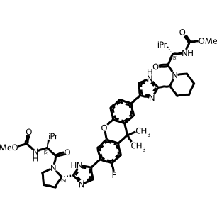 COC(=O)N[C@H](C(=O)N1CCCCC1c1nc(-c2ccc3c(c2)C(C)(C)c2cc(F)c(-c4cnc([C@@H]5CCCN5C(=O)[C@@H](NC(=O)OC)C(C)C)[nH]4)cc2O3)c[nH]1)C(C)C